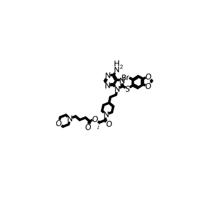 C[C@H](OC(=O)CCCN1CCOCC1)C(=O)N1CCC(CCn2c(Sc3cc4c(cc3Br)OCO4)nc3c(N)ncnc32)CC1